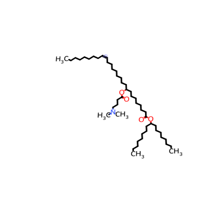 CCCCCCCC/C=C\CCCCCCCCC(CCCCCCCC(=O)OC(CCCCCCCC)CCCCCCCC)OC(=O)CCCN(C)C